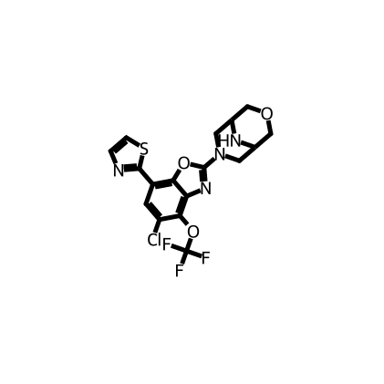 FC(F)(F)Oc1c(Cl)cc(-c2nccs2)c2oc(N3CC4COCC(C3)N4)nc12